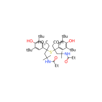 CCC(=O)NC(C)(C)CC(CC(=O)O)(SC(CC(=O)O)(CC(C)(C)NC(=O)CC)c1cc(C(C)(C)C)c(O)c(C(C)(C)C)c1)c1cc(C(C)(C)C)c(O)c(C(C)(C)C)c1